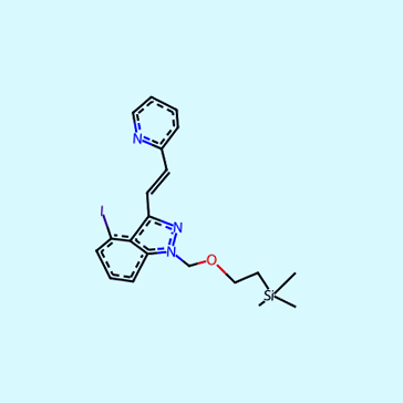 C[Si](C)(C)CCOCn1nc(C=Cc2ccccn2)c2c(I)cccc21